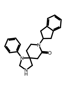 O=C1CC2(CCN1C1Cc3ccccc3C1)CNCN2c1ccccc1